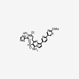 CCCN(C(=O)c1nnc[nH]1)[C@H](CC)CCc1nc2c(-c3ccc(-c4cnc(OC)nc4)nc3)ccn2c(N)c1S(C)(=O)=O